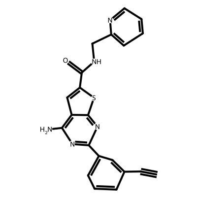 C#Cc1cccc(-c2nc(N)c3cc(C(=O)NCc4ccccn4)sc3n2)c1